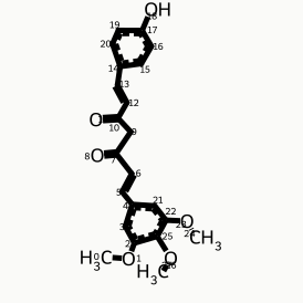 COc1cc(C=CC(=O)CC(=O)C=Cc2ccc(O)cc2)cc(OC)c1OC